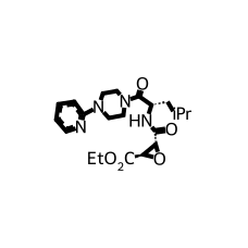 CCOC(=O)[C@@H]1O[C@H]1C(=O)N[C@@H](CC(C)C)C(=O)N1CCN(c2ccccn2)CC1